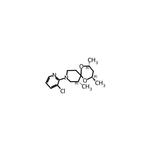 C[C@@H]1C[C@@H](C)OC2(CCN(c3ncccc3Cl)C[C@H]2C)O1